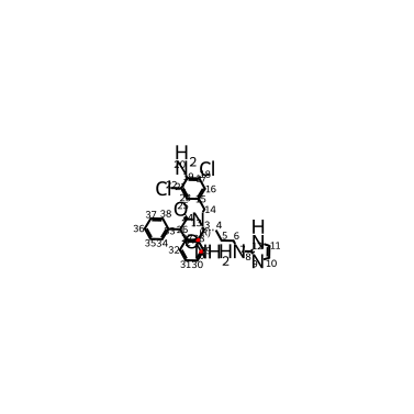 NC(=O)[C@@H](CCCNc1ncc[nH]1)N(Cc1cc(Cl)c(N)c(Cl)c1)C(=O)C(c1ccccc1)c1ccccc1